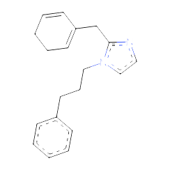 C1=CC(Cc2nccn2CCCc2ccccc2)=CCC1